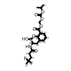 CC(C)OC(=O)OCOC(=O)c1cccc2c1OB(O)C(NC(=O)CCC(C)(F)F)C2